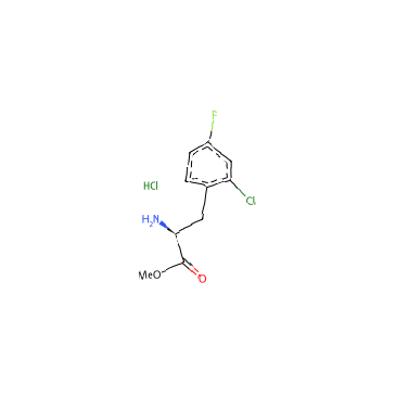 COC(=O)[C@@H](N)Cc1ccc(F)cc1Cl.Cl